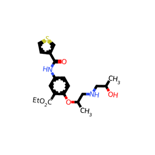 CCOC(=O)c1cc(NC(=O)c2ccsc2)ccc1OC(C)CNCC(C)O